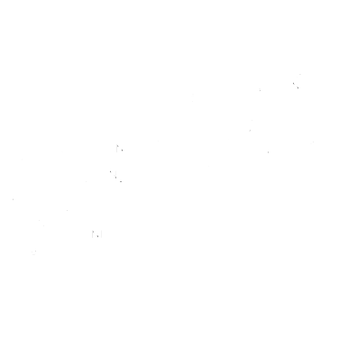 Nc1c(Br)cccc1N=Nc1ccc(-c2cccnc2)cc1